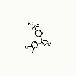 O=S(=O)(c1ccc(C2=CC3(C=C2c2ccc(Cl)c(F)c2)CC3)cc1)C(F)(F)F